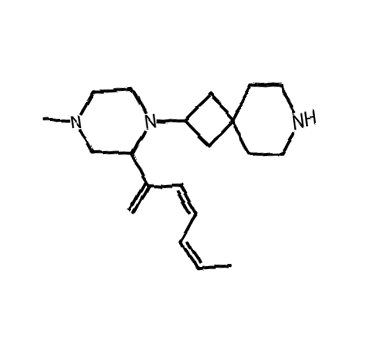 C=C(/C=C\C=C/C)C1CN(C)CCN1C1CC2(CCNCC2)C1